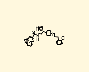 Cl.Cl.O=C(NCCCC1CCN(CCCc2ccccc2Cl)CC1)C1=Cc2cnc3cccc(n23)S1